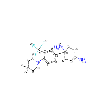 CC1(C)CCN(c2ccc(C3(N)CCC(N)CC3)cc2C(F)(F)F)CC1